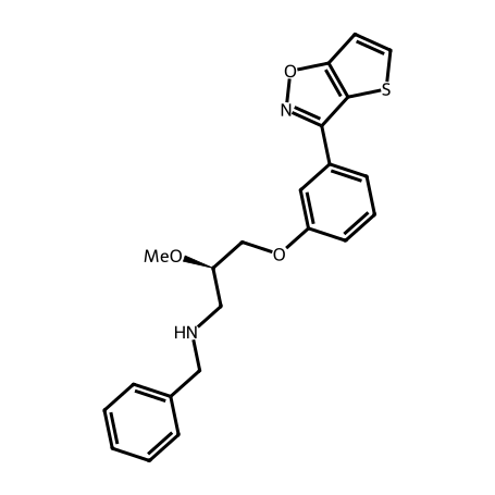 CO[C@H](CNCc1ccccc1)COc1cccc(-c2noc3ccsc23)c1